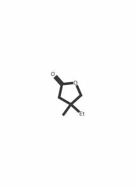 CCC1(C)COC(=O)C1